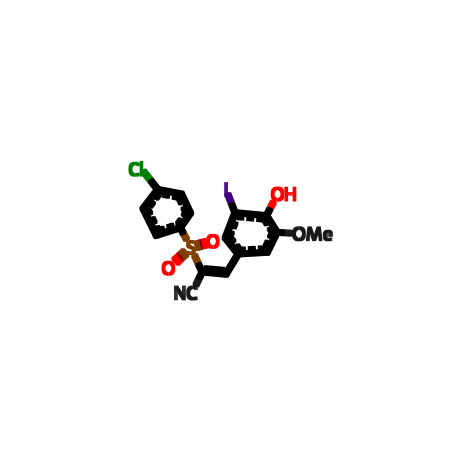 COc1cc(/C=C(/C#N)S(=O)(=O)c2ccc(Cl)cc2)cc(I)c1O